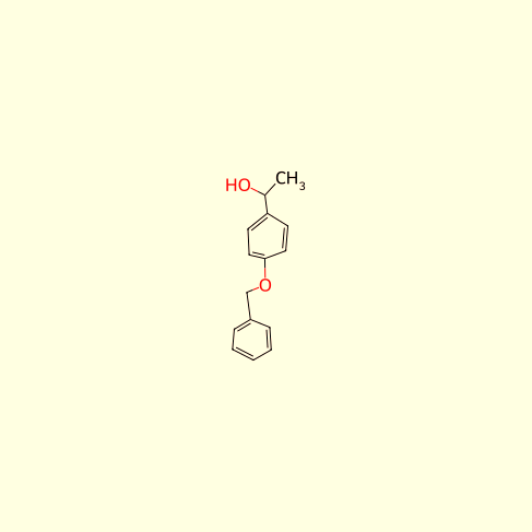 CC(O)c1ccc(OCc2ccccc2)cc1